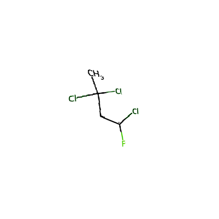 CC(Cl)(Cl)C[C](F)Cl